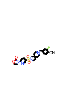 N#Cc1ccc(CN2CCC3(CC2)CCN(S(=O)(=O)c2ccc(N4CCOC4=O)nc2)C3)cc1F